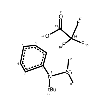 C[S+](C)N(c1ccccc1)C(C)(C)C.O=C([O-])C(F)(F)F